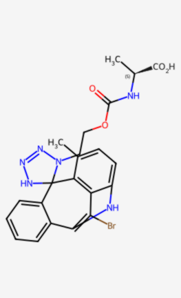 Cc1ccc2[nH]c3c(Br)c2c1C1(NN=NN1CCOC(=O)N[C@@H](C)C(=O)O)c1ccccc1-3